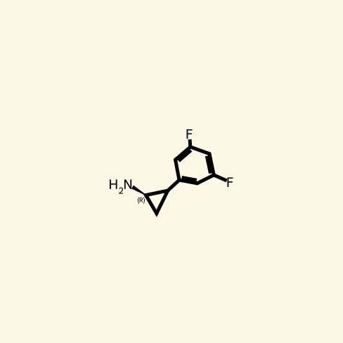 N[C@@H]1CC1c1cc(F)cc(F)c1